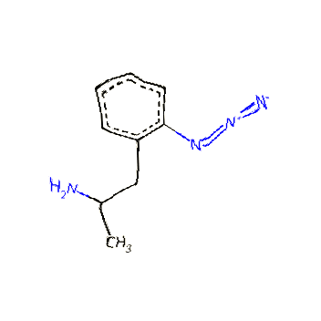 CC(N)Cc1ccccc1N=[N+]=[N-]